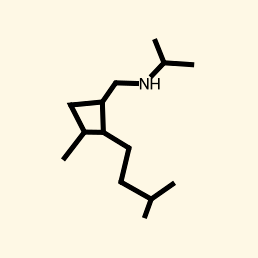 CC(C)CCC1C(C)CC1CNC(C)C